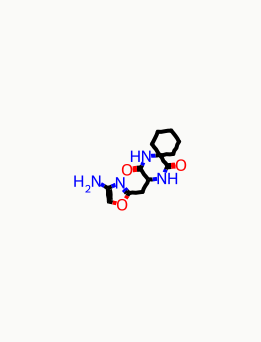 Nc1coc(CC2NC(=O)C3(CCCCC3)NC2=O)n1